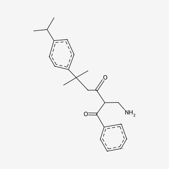 CC(C)c1ccc(C(C)(C)CC(=O)C(CN)C(=O)c2cc[c]cc2)cc1